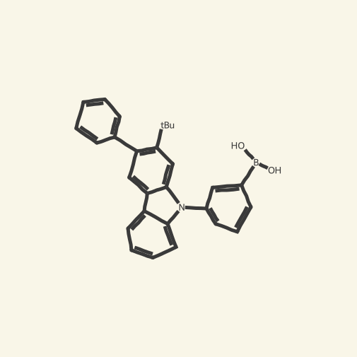 CC(C)(C)c1cc2c(cc1-c1ccccc1)c1ccccc1n2-c1cccc(B(O)O)c1